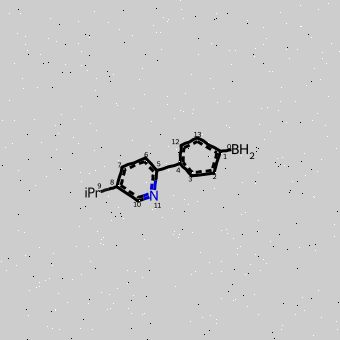 Bc1ccc(-c2ccc(C(C)C)cn2)cc1